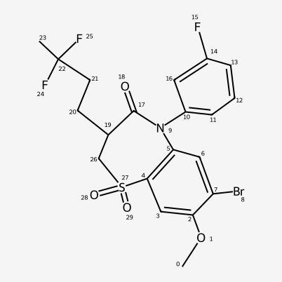 COc1cc2c(cc1Br)N(c1cccc(F)c1)C(=O)C(CCC(C)(F)F)CS2(=O)=O